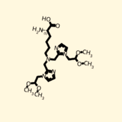 COC(Cn1ccnc1CN(CCCC[C@H](N)C(=O)O)Cc1nccn1CC(OC)OC)OC